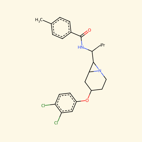 Cc1ccc(C(=O)NC(C(C)C)C2C3CC(Oc4ccc(Cl)c(Cl)c4)CCN32)cc1